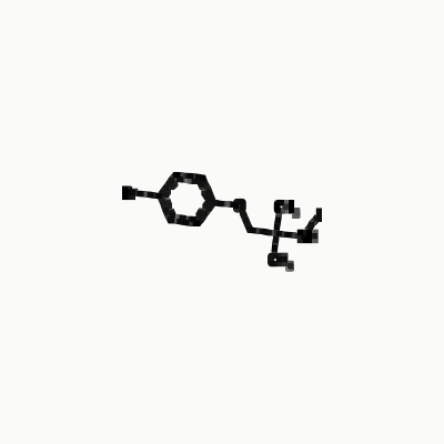 CC(C)(COc1ccc(Br)cc1)NI